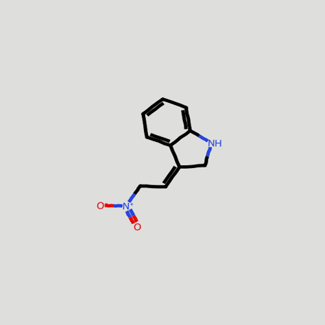 O=[N+]([O-])C/C=C1/CNc2ccccc21